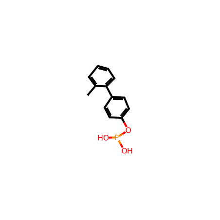 Cc1ccccc1-c1ccc(OP(O)O)cc1